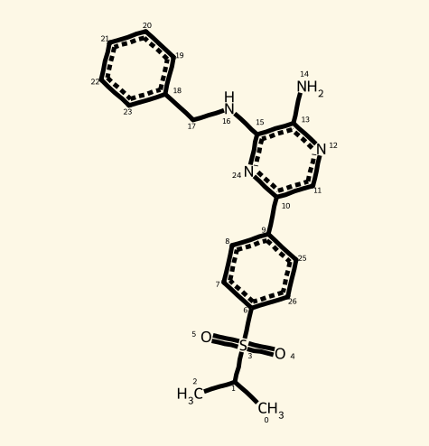 CC(C)S(=O)(=O)c1ccc(-c2cnc(N)c(NCc3ccccc3)n2)cc1